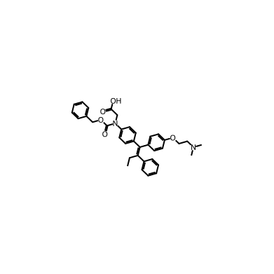 CCC(=C(c1ccc(OCCN(C)C)cc1)c1ccc(N(CC(=O)O)C(=O)OCc2ccccc2)cc1)c1ccccc1